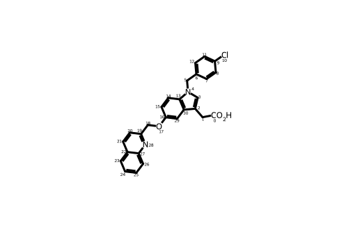 O=C(O)Cc1cn(Cc2ccc(Cl)cc2)c2ccc(OCc3ccc4ccccc4n3)cc12